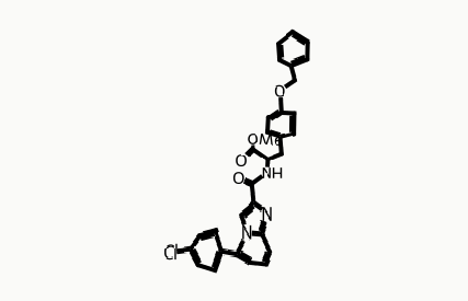 COC(=O)C(Cc1ccc(OCc2ccccc2)cc1)NC(=O)c1cn2c(-c3ccc(Cl)cc3)cccc2n1